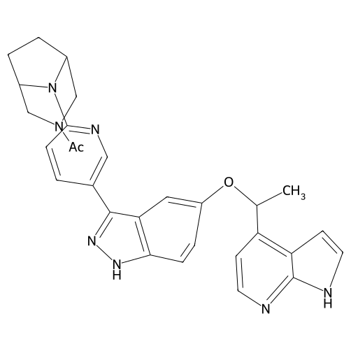 CC(=O)N1CC2CCC(C1)N2c1ccc(-c2n[nH]c3ccc(OC(C)c4ccnc5[nH]ccc45)cc23)cn1